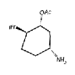 CC(=O)O[C@@H]1C[C@H](N)CC[C@H]1C(C)C